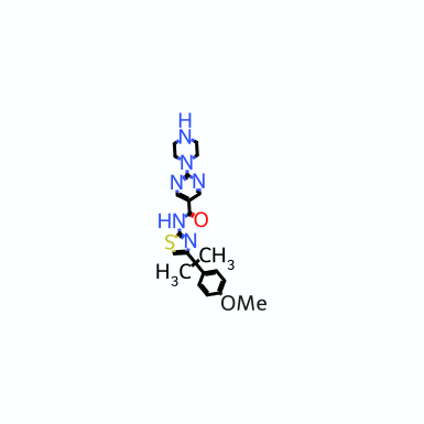 COc1ccc(C(C)(C)c2csc(NC(=O)c3cnc(N4CCNCC4)nc3)n2)cc1